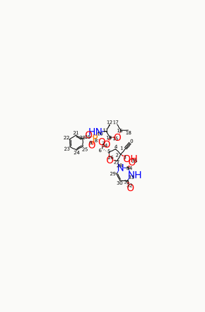 C#C[C@@]1(O)C[C@@H](COP(=O)(N[C@@H](C)C(=O)OC(C)C)Oc2ccccc2)O[C@H]1n1ccc(=O)[nH]c1=O